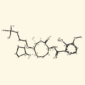 COc1ccnc(C(=O)N[C@H]2CCC[C@H](OC3CCCC3)[C@@H](OCCCC(F)(F)F)[C@H](C)OC2=O)c1O